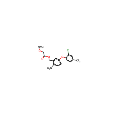 CNOCC(=O)OCc1cc(Oc2ccc(C(F)(F)F)cc2Cl)ccc1[N+](=O)[O-]